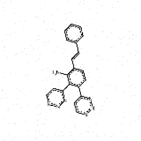 Nc1c(C=Cc2ccccc2)ccc(-c2ccnnn2)c1-c1ccnnn1